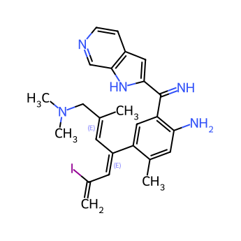 C=C(I)/C=C(\C=C(/C)CN(C)C)c1cc(C(=N)c2cc3ccncc3[nH]2)c(N)cc1C